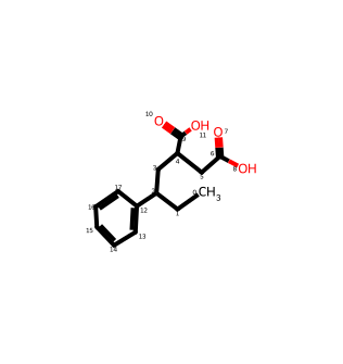 CCC(CC(CC(=O)O)C(=O)O)c1ccccc1